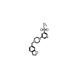 CS(=O)(=O)c1cncc(N2CCN(Cc3ccc4c(c3)OCC4)CC2)c1